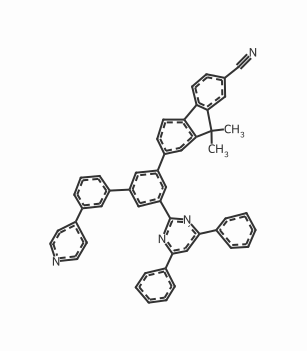 CC1(C)c2cc(C#N)ccc2-c2ccc(-c3cc(-c4cccc(-c5ccncc5)c4)cc(-c4nc(-c5ccccc5)cc(-c5ccccc5)n4)c3)cc21